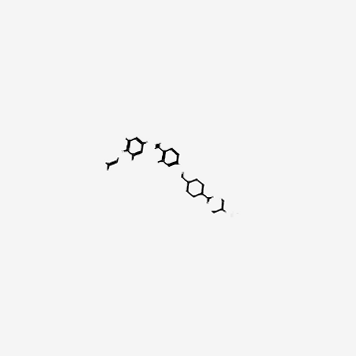 CCCC1COC(C2CCC(COc3ccc(C(F)(F)Oc4cc(F)c(OC=C(F)F)c(F)c4)c(F)c3)CC2)OC1